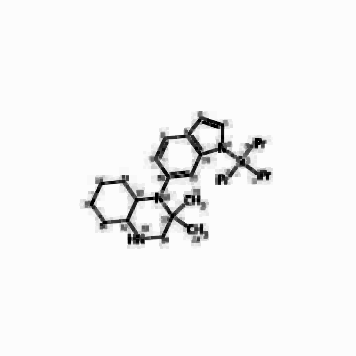 CC(C)[Si](C(C)C)(C(C)C)n1ccc2ccc(N3C4CCCCC4NCC3(C)C)cc21